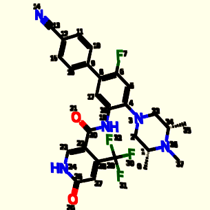 C[C@@H]1CN(c2cc(F)c(-c3ccc(C#N)cc3)cc2NC(=O)c2c[nH]c(=O)cc2C(F)(F)F)C[C@H](C)N1C